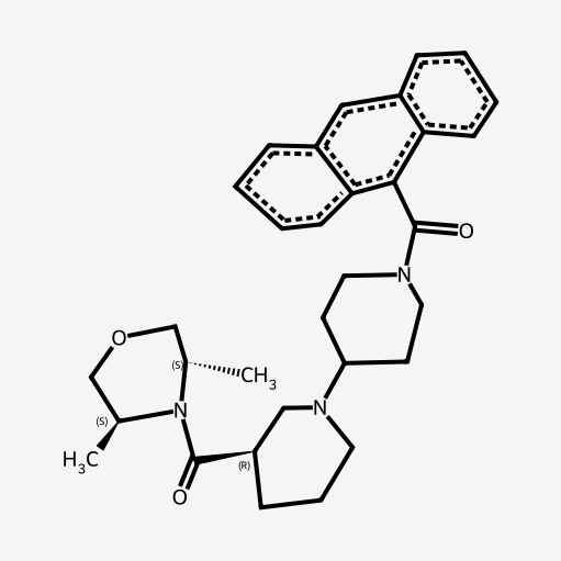 C[C@H]1COC[C@H](C)N1C(=O)[C@@H]1CCCN(C2CCN(C(=O)c3c4ccccc4cc4ccccc34)CC2)C1